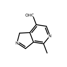 Cc1ncc(C=O)c2c1C=NC2